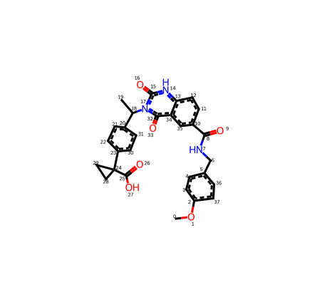 COc1ccc(CNC(=O)c2ccc3[nH]c(=O)n(C(C)c4ccc(C5(C(=O)O)CC5)cc4)c(=O)c3c2)cc1